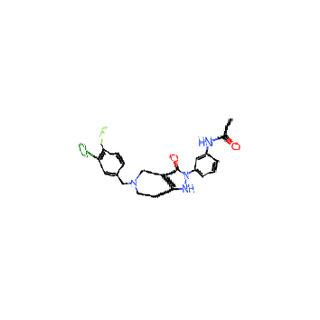 CC(=O)Nc1cccc(-n2[nH]c3c(c2=O)CN(Cc2ccc(F)c(Cl)c2)CC3)c1